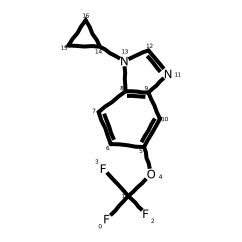 FC(F)(F)Oc1ccc2c(c1)ncn2C1CC1